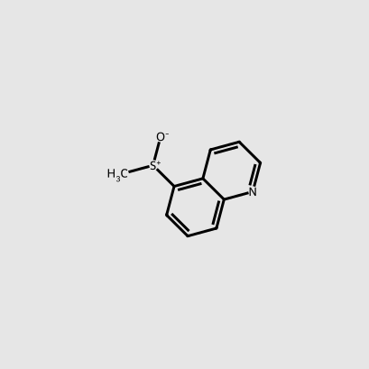 C[S+]([O-])c1cccc2ncccc12